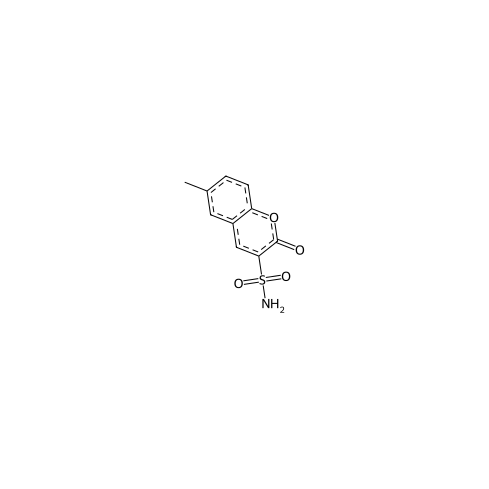 Cc1ccc2oc(=O)c(S(N)(=O)=O)cc2c1